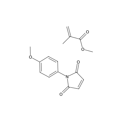 C=C(C)C(=O)OC.COc1ccc(N2C(=O)C=CC2=O)cc1